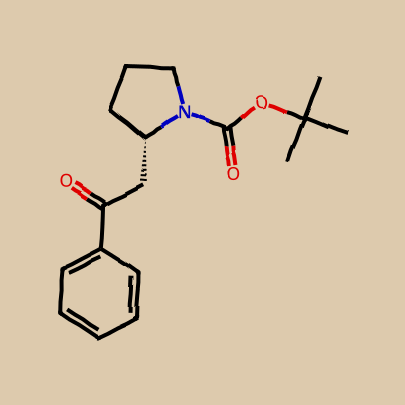 CC(C)(C)OC(=O)N1CCC[C@H]1CC(=O)c1ccccc1